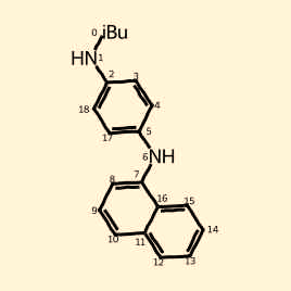 CCC(C)Nc1ccc(Nc2cccc3ccccc23)cc1